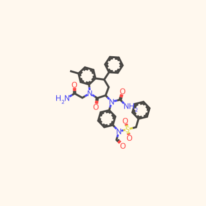 Cc1ccc2c(c1)N(CC(N)=O)C(=O)C(N(C(N)=O)c1cccc(N(C=O)S(=O)(=O)Cc3ccccc3)c1)CC2c1ccccc1